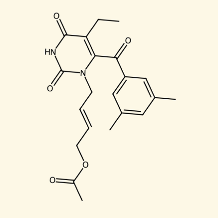 CCc1c(C(=O)c2cc(C)cc(C)c2)n(C/C=C/COC(C)=O)c(=O)[nH]c1=O